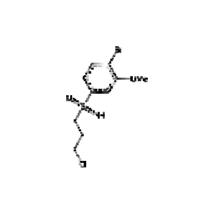 COc1cc(S(=N)(=O)CCCCl)ccc1Br